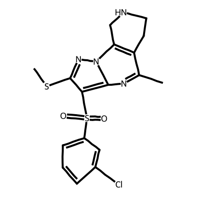 CSc1nn2c3c(c(C)nc2c1S(=O)(=O)c1cccc(Cl)c1)CCNC3